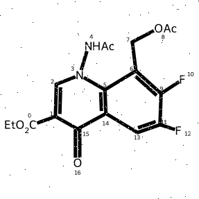 CCOC(=O)c1cn(NC(C)=O)c2c(COC(C)=O)c(F)c(F)cc2c1=O